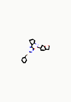 c1ccc(CSc2nnc3c(n2)OC(c2ccc4c(c2)OCC4)Nc2ccccc2-3)cc1